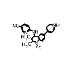 CC(=O)N1c2ccc(C3=CCNCC3)cc2C(Nc2ccc(C#N)cn2)[C@@H](C)[C@@H]1C